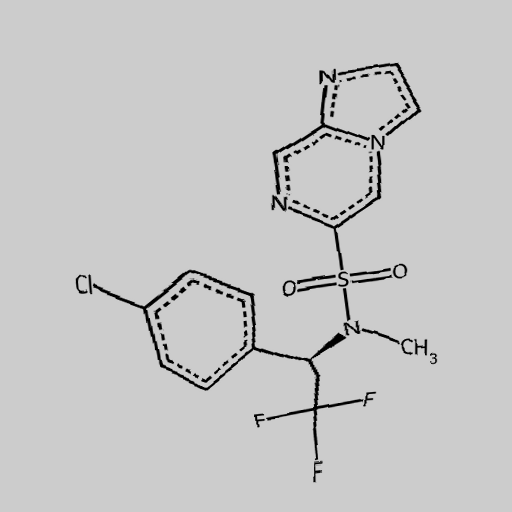 CN([C@H](c1ccc(Cl)cc1)C(F)(F)F)S(=O)(=O)c1cn2ccnc2cn1